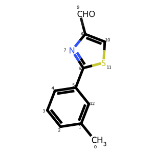 Cc1cccc(-c2nc(C=O)cs2)c1